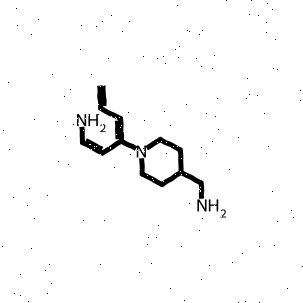 C=C/C=C(\C=C/N)N1CCC(CN)CC1